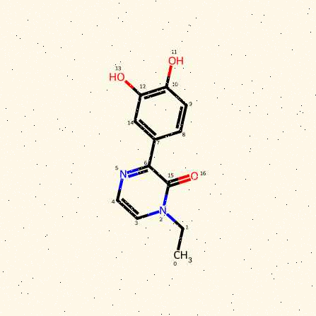 CCn1ccnc(-c2ccc(O)c(O)c2)c1=O